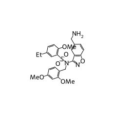 CCc1ccc(OC)c(S(=O)(=O)N(Cc2ccc(OC)cc2OC)c2noc3ccc(CN)cc23)c1